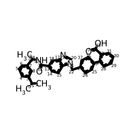 CC(C)c1cccc([C@H](C)NC(=O)c2ccc3c(c2)ncn3Cc2ccc(-c3ccccc3C(=O)O)cc2)c1